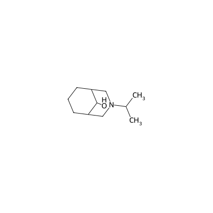 CC(C)N1CC2CCCC(C1)C2O